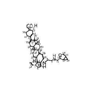 C=C(C)[C@@H]1CC[C@]2(NCCNC[C@H]3OCC4CC43)CC[C@]3(C)[C@H](CC[C@@H]4[C@@]5(C)CC=C(C6=CCC(C(=O)O)CC6)C(C)(C)[C@@H]5CC[C@]43C)[C@@H]12